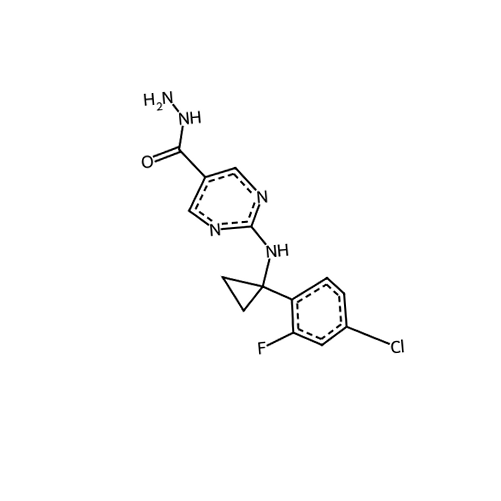 NNC(=O)c1cnc(NC2(c3ccc(Cl)cc3F)CC2)nc1